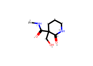 CC(C)NC(=O)C1(CO)CCCNC1=O